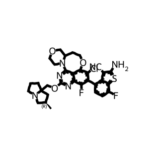 C[C@H]1CN2CCCC2(COc2nc3c4c(c(Cl)c(-c5ccc(F)c6sc(N)c(C#N)c56)c(F)c4n2)OCCC2COCCN32)C1